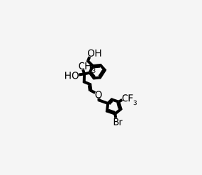 CC(O)(CC=COCc1cc(Br)cc(C(F)(F)F)c1)c1ccccc1CO